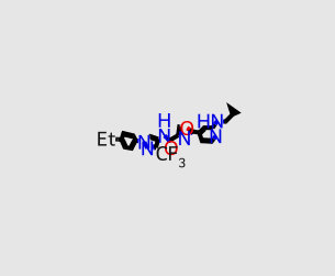 CCc1ccc(-n2cc(NC(=O)c3coc(-c4ccnc(NCC5CC5)c4)n3)c(C(F)(F)F)n2)cc1